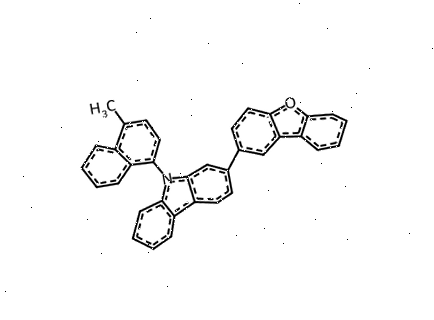 Cc1ccc(-n2c3ccccc3c3ccc(-c4ccc5oc6ccccc6c5c4)cc32)c2ccccc12